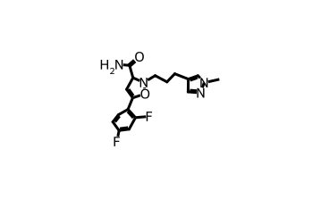 Cn1cc(CCCN2OC(c3ccc(F)cc3F)=CC2C(N)=O)cn1